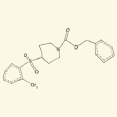 Cc1ccccc1S(=O)(=O)C1CCN(C(=O)OCc2ccccc2)CC1